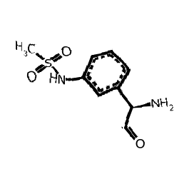 CS(=O)(=O)Nc1cccc([C@@H](N)[C]=O)c1